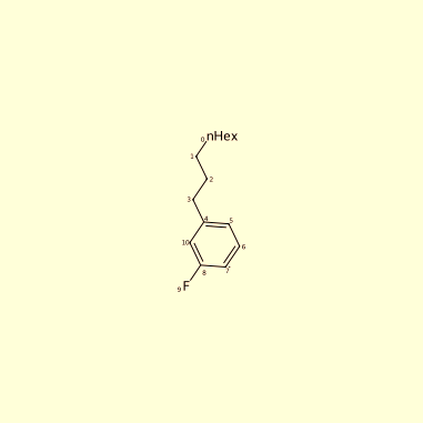 CCCCCCCCCc1cc[c]c(F)c1